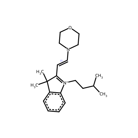 CC(C)CC[N+]1=C(/C=C/N2CCOCC2)C(C)(C)c2ccccc21